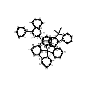 CC1(C)c2ccccc2-c2ccc(N(c3nc(-c4ccccc4)c4ccccc4n3)c3cccc4c3C3(c5ccccc5-c5ccccc53)c3ccccc3-4)cc21